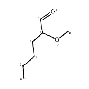 [CH2]CCCC(C=O)OC